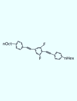 CCCCCCCCc1ccc(C#Cc2cc(F)c(C#Cc3ccc(CCCCCC)cc3)c(F)c2)cc1